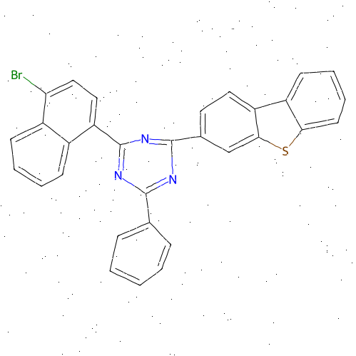 Brc1ccc(-c2nc(-c3ccccc3)nc(-c3ccc4c(c3)sc3ccccc34)n2)c2ccccc12